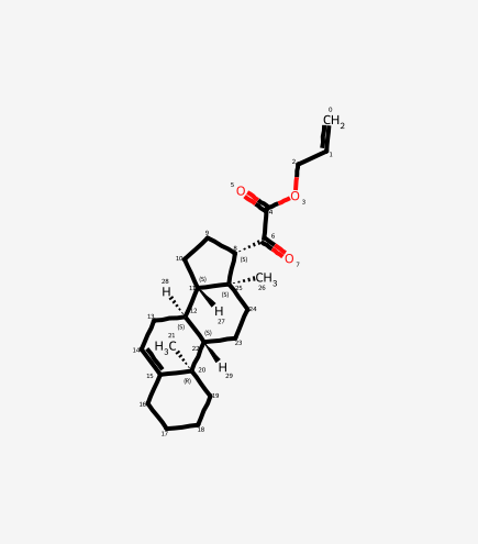 C=CCOC(=O)C(=O)[C@H]1CC[C@H]2[C@@H]3CC=C4CCCC[C@]4(C)[C@H]3CC[C@]12C